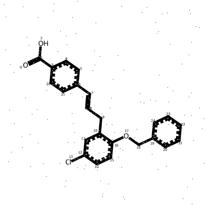 O=C(O)c1ccc(C=CCc2cc(Cl)ccc2OCc2ccccc2)cc1